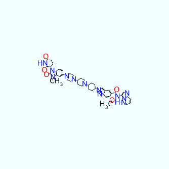 COc1cc2nn(C3CCC(N4CCC(N5CCN(c6ccc7c(c6)n(C)c(=O)n7C6CCC(=O)NC6=O)CC5)CC4)CC3)cc2cc1C(=O)Nc1cnc2cccnn12